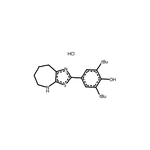 CC(C)(C)c1cc(-c2nc3c(s2)NCCCC3)cc(C(C)(C)C)c1O.Cl